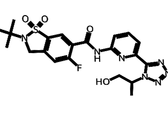 CC(CO)n1nnnc1-c1cccc(NC(=O)c2cc3c(cc2F)CN(C(C)(C)C)S3(=O)=O)n1